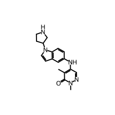 Cc1c(Nc2ccc3c(ccn3C3CCNC3)c2)cnn(C)c1=O